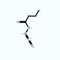 CCCC(=O)ON=C=O